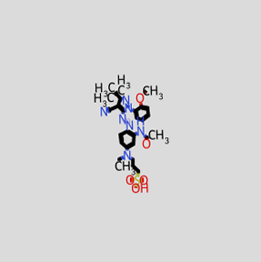 CCN(CCCS(=O)(=O)O)c1ccc(/N=N/c2c(C#N)c(C(C)(C)C)nn2-c2ccccc2OC)c(NC(C)=O)c1